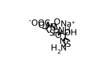 CC(=O)OCC1=C(C(=O)[O-])N2C(=O)[C@@H](NC(=O)C(O)c3csc(N)n3)[C@H]2SC1.[Na+]